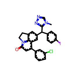 Cn1cnnc1C(c1ccc(I)cc1)c1cc2c3c(c1)c(-c1cccc(Cl)c1)cc(=O)n3CC2